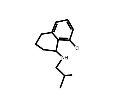 CC(C)CNC1CCCc2cccc(Cl)c21